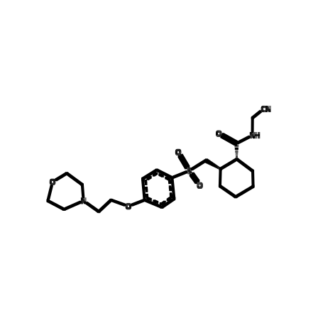 N#CCNC(=O)[C@@H]1CCCC[C@H]1CS(=O)(=O)c1ccc(OCCN2CCOCC2)cc1